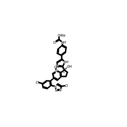 COC(=O)Nc1ccc(-c2cnc([C@]3(O)CCc4cc(-c5cc(Cl)ccc5-n5cc(Cl)nn5)c[n+](O)c43)[nH]2)cc1